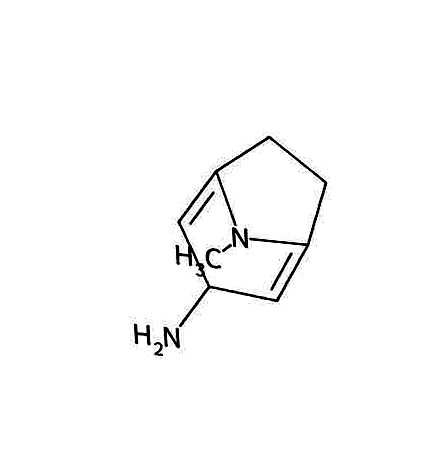 CN1C2=CC(N)C=C1CC2